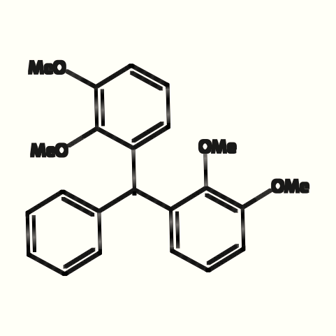 COc1cccc([C](c2ccccc2)c2cccc(OC)c2OC)c1OC